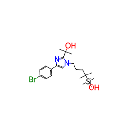 CC(C)(O)c1nc(-c2ccc(Br)cc2)cn1CCCC(C)(C)[Si](C)(C)O